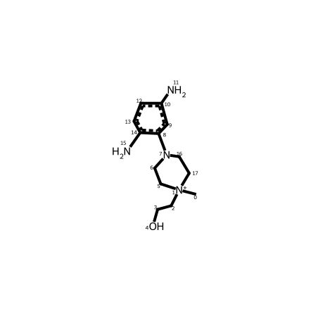 C[N+]1(CCO)CCN(c2cc(N)ccc2N)CC1